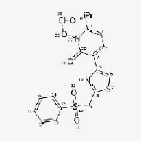 CC(C)c1ccc(-c2csc(CS(=O)(=O)c3ccccc3)n2)c(=O)n1OC=O